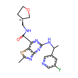 Cc1nc2nc(NC(C)c3cncc(F)c3)nc(C(=O)NC[C@H]3CCOC3)c2s1